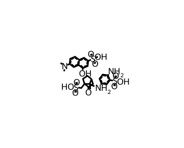 CC1(C)C2CCC1(CS(=O)(=O)O)C(=O)C2.CN(C)c1ccc2cc(S(=O)(=O)O)cc(O)c2c1.Nc1ccc(N)c(S(=O)(=O)O)c1